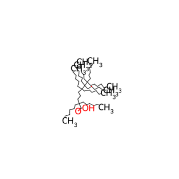 CCCCCCC(CCCCCC)(CCCC(CCCCCC)(CCCCCC)C(CCCCCC)(CCCCCC)C(CCCCCC)(CCCCCC)CCCCCC)C(=O)O